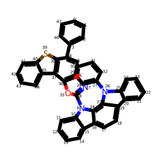 c1ccc(-c2cc3nc(-n4c5ccccc5c5ccc6c7ccccc7n(-c7ccccc7)c6c54)oc3c3c2sc2ccccc23)cc1